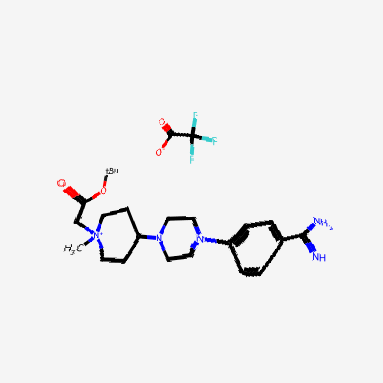 CC(C)(C)OC(=O)C[N+]1(C)CCC(N2CCN(c3ccc(C(=N)N)cc3)CC2)CC1.O=C([O-])C(F)(F)F